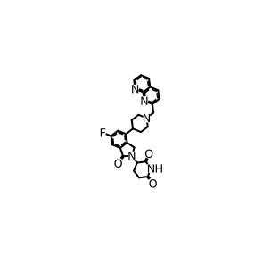 O=C1CCC(N2Cc3c(cc(F)cc3C3CCN(Cc4ccc5cccnc5n4)CC3)C2=O)C(=O)N1